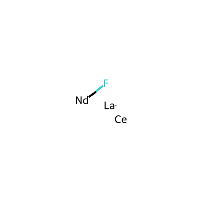 [Ce].[F][Nd].[La]